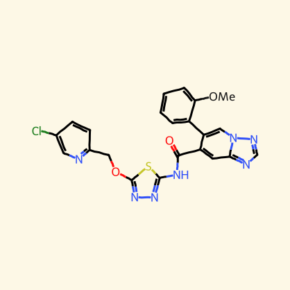 COc1ccccc1-c1cn2ncnc2cc1C(=O)Nc1nnc(OCc2ccc(Cl)cn2)s1